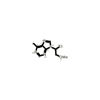 CCC(COC)n1cnc2c(C)ncnc21